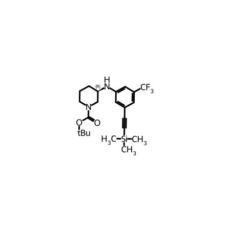 CC(C)(C)OC(=O)N1CCC[C@@H](Nc2cc(C#C[Si](C)(C)C)cc(C(F)(F)F)c2)C1